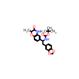 CC1Oc2ccc(C(Cc3ccc4c(c3)OCO4)NC(=O)OC(C)(C)C)cc2NC1=O